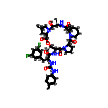 Cc1ccc(NC(=O)N[C@@H](Cc2cc(F)cc(F)c2)C(=O)N[C@@H]2C(=O)N3CCCC3C(=O)N3CCCC[C@H]3C(=O)N[C@@H](C)C(=O)N3C[C@H](C)CC3C(=O)O[C@H]2C)cc1